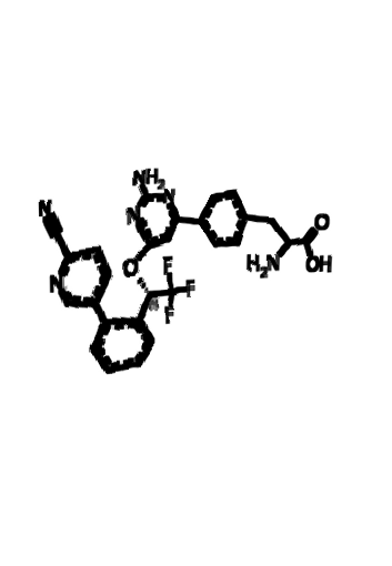 N#Cc1ccc(-c2ccccc2[C@H](Oc2cc(-c3ccc(CC(N)C(=O)O)cc3)nc(N)n2)C(F)(F)F)cn1